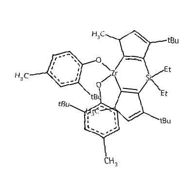 CC[Si]1(CC)C2=[C](C(C)C=C2C(C)(C)C)[Zr]([O]c2ccc(C)cc2C(C)(C)C)([O]c2ccc(C)cc2C(C)(C)C)[C]2=C1C(C(C)(C)C)=CC2C